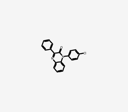 O=c1c(-c2ccccc2)nc2ccccc2n1-c1ccc(Cl)cc1